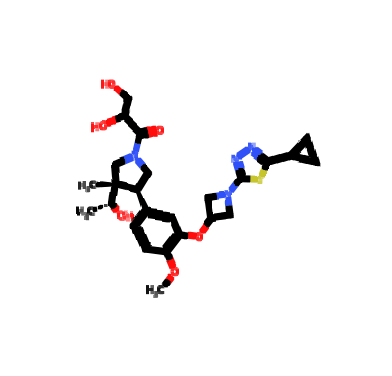 COc1ccc([C@@H]2CN(C(=O)C(O)CO)C[C@@]2(C)[C@@H](C)O)cc1OC1CN(c2nnc(C3CC3)s2)C1